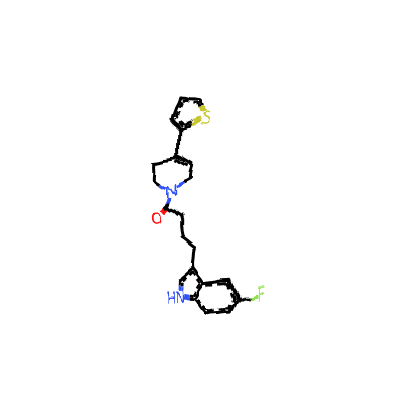 O=C(CCCc1c[nH]c2ccc(F)cc12)N1CC=C(c2cccs2)CC1